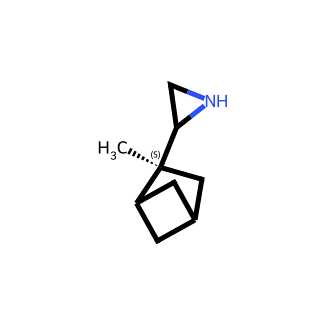 C[C@]1(C2CN2)CC2CC1C2